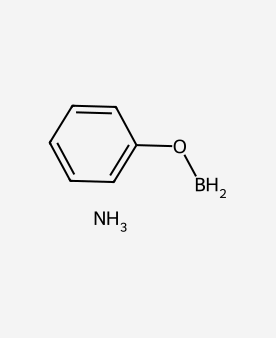 BOc1ccccc1.N